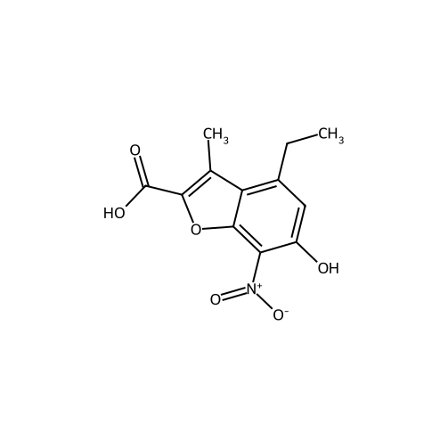 CCc1cc(O)c([N+](=O)[O-])c2oc(C(=O)O)c(C)c12